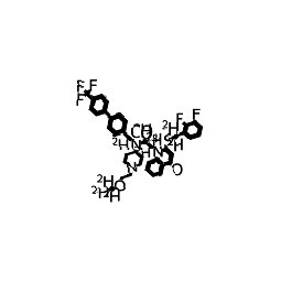 [2H]C([2H])([2H])OCCN1CCC(N(C(=O)C([2H])([2H])n2c(SC([2H])([2H])c3cccc(F)c3F)cc(=O)c3ccccc32)C([2H])(C)c2ccc(-c3ccc(C(F)(F)F)cc3)cc2)CC1